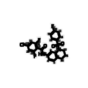 O=C(Nc1ccc2c(c1)N(S(=O)(=O)c1ccc(F)cc1)CCC2)c1c(F)cc(Cl)cc1F